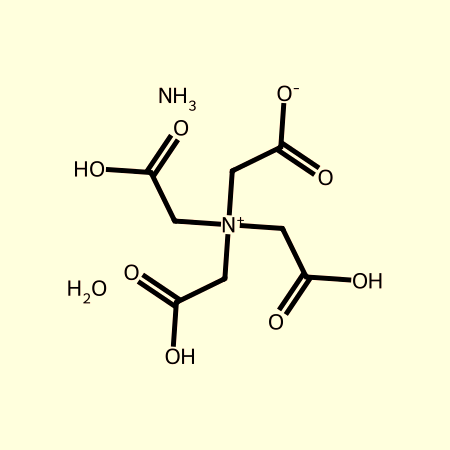 N.O.O=C([O-])C[N+](CC(=O)O)(CC(=O)O)CC(=O)O